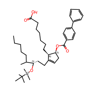 CCCCCC(C)[C@H](CCC1=CC[C@H](OC(=O)c2ccc(-c3ccccc3)cc2)[C@@H]1CCCCCCC(=O)O)O[Si](C)(C)C(C)(C)C